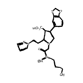 CCC(C)N(CCCO)C(=O)CN1CC(c2ccc3c(c2)OCO3)C(C(=O)O)C1CCn1cccn1